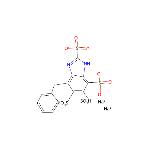 O=S(=O)([O-])c1nc2c(Cc3ccccc3)c(S(=O)(=O)O)c(S(=O)(=O)O)c(S(=O)(=O)[O-])c2[nH]1.[Na+].[Na+]